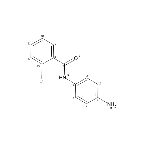 Nc1ccc(NC(=O)c2ccccc2I)cc1